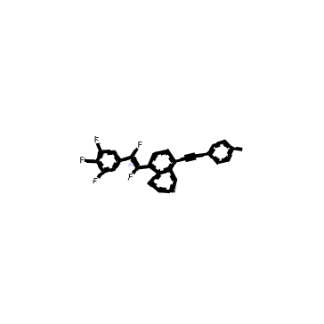 Cc1ccc(C#Cc2ccc(/C(F)=C(\F)c3cc(F)c(F)c(F)c3)c3ccccc23)cc1